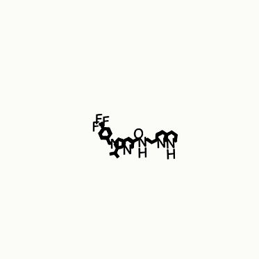 CC(C)C1c2ncc(C(=O)NCCc3ccc4c(n3)NCCC4)cc2CN1Cc1ccc(C(F)(F)F)cc1